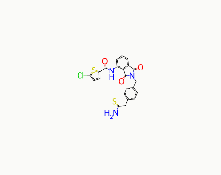 NC(=S)Cc1ccc(CN2C(=O)c3cccc(NC(=O)c4ccc(Cl)s4)c3C2=O)cc1